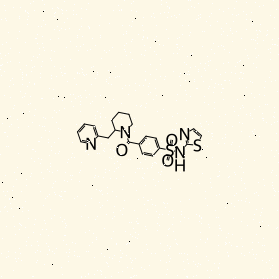 O=C(c1ccc(S(=O)(=O)Nc2nccs2)cc1)N1CCCCC1Cc1ccccn1